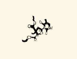 CCOC(=O)[C@@H]1O[C@H](n2c(=O)[nH]cc(C)c2=O)CC1(C)C(=O)OCC